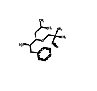 CC(C)C[C@H](OC[C@](C)(N)C=O)[C@H](C)Oc1ccccc1